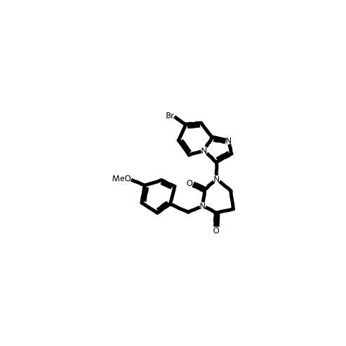 COc1ccc(CN2C(=O)CCN(c3cnc4cc(Br)ccn34)C2=O)cc1